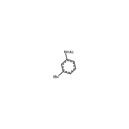 [CH2]C(=O)Nc1cccc(C(C)(C)C)c1